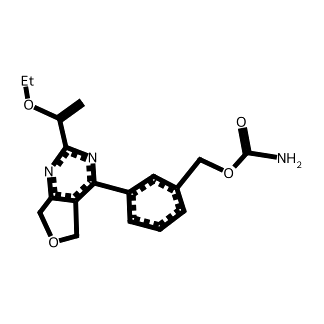 C=C(OCC)c1nc2c(c(-c3cccc(COC(N)=O)c3)n1)COC2